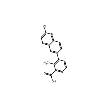 Cc1c(-c2ccc3nc(Cl)ccc3c2)ccnc1C(=O)O